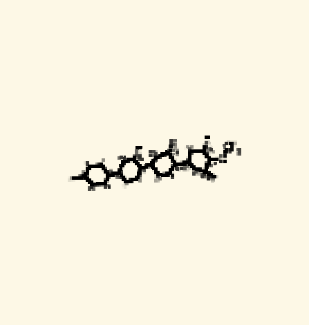 CC1CCC(C2CCC(C3CCC(C4CC(F)C(OC(F)(F)F)C(F)C4)C(F)C3)C(F)C2)CC1